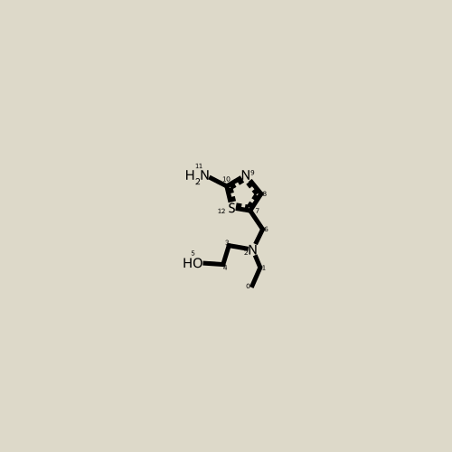 CCN(CCO)Cc1cnc(N)s1